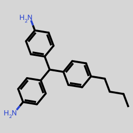 CCCCc1ccc(C(c2ccc(N)cc2)c2ccc(N)cc2)cc1